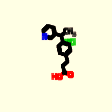 CC(c1ccc(CCC(=O)O)cc1)c1cccnc1.Cl